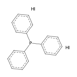 I.I.c1ccc(P(c2ccccc2)c2ccccc2)cc1